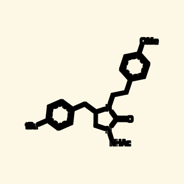 COc1ccc(CCN2C(=O)N(NC(C)=O)CC2Cc2ccc(C(C)(C)C)cc2)cc1